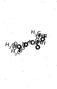 COc1cc(S(C)(=O)=O)ccc1Oc1ccc(CN2CCC(N(C(=O)Nc3ccc(F)c(NC(C)=O)c3)c3ccccc3)CC2)cn1